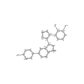 Fc1ccc(-c2cnc3[nH]cc(-c4oncc4-c4cccc(F)c4F)c3c2)cn1